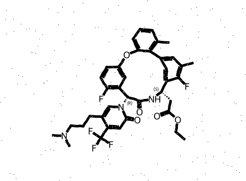 CCOC(=O)C[C@@H]1NC(=O)[C@H](n2cc(CCCN(C)C)c(C(F)(F)F)cc2=O)c2cc(ccc2F)Oc2cccc(C)c2-c2cc(C)c(F)c1c2